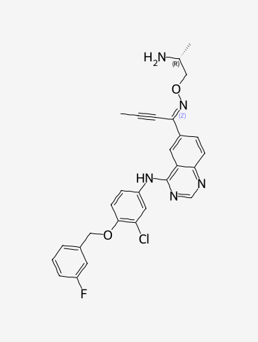 CC#C/C(=N\OC[C@@H](C)N)c1ccc2ncnc(Nc3ccc(OCc4cccc(F)c4)c(Cl)c3)c2c1